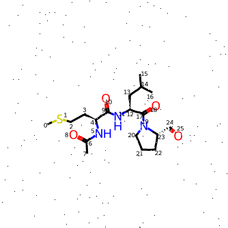 CSCC[C@H](NC(C)=O)C(=O)N[C@@H](CC(C)C)C(=O)N1CCC[C@H]1C=O